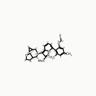 CSc1nn2c(-c3c(C)cc(C)cc3OCF)cccc2c1N(CC1CC1)CC1CCOC1